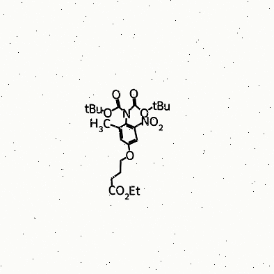 CCOC(=O)CCCOc1cc(C)c(N(C(=O)OC(C)(C)C)C(=O)OC(C)(C)C)c([N+](=O)[O-])c1